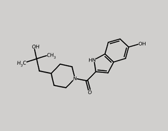 CC(C)(O)CC1CCN(C(=O)c2cc3cc(O)ccc3[nH]2)CC1